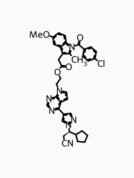 COc1ccc2c(c1)c(CC(=O)OCCn1ccc3c(-c4cnn([C@H](CC#N)C5CCCC5)c4)ncnc31)c(C)n2C(=O)c1ccc(Cl)cc1